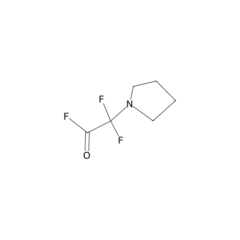 O=C(F)C(F)(F)N1CCCC1